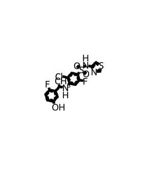 CC(Nc1cc(F)c(S(=O)(=O)Nc2cscn2)cc1Cl)c1cc(O)ccc1F